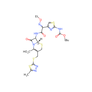 CCON=C(C(=O)NC1C(=O)N2C(C(=O)O)=C(CSc3nnc(C)s3)CS[C@@H]12)c1csc(NC(=O)OC(C)(C)C)n1